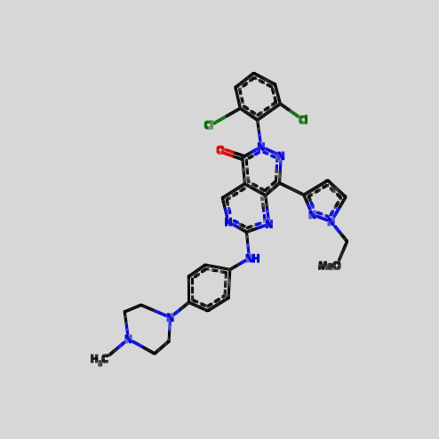 COCn1ccc(-c2nn(-c3c(Cl)cccc3Cl)c(=O)c3cnc(Nc4ccc(N5CCN(C)CC5)cc4)nc23)n1